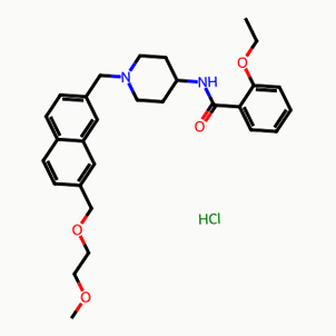 CCOc1ccccc1C(=O)NC1CCN(Cc2ccc3ccc(COCCOC)cc3c2)CC1.Cl